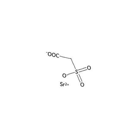 O=C([O-])CS(=O)(=O)[O-].[Sr+2]